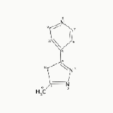 CC1=NN=C(c2ccncc2)C1